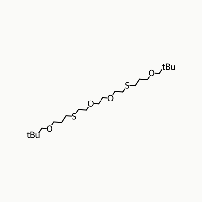 CC(C)(C)COCCCSCCOCCOCCSCCCOCC(C)(C)C